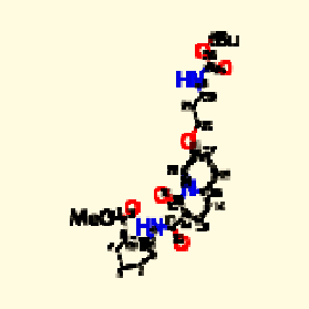 COC(=O)[C@H]1CCCC[C@@H]1NC(=O)c1ccc2ccc(OCCCNC(=O)OC(C)(C)C)cn2c1=O